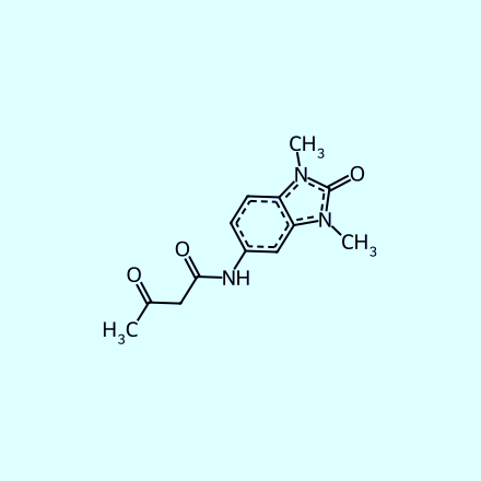 CC(=O)CC(=O)Nc1ccc2c(c1)n(C)c(=O)n2C